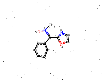 C[N+]([O-])=C(c1ccccc1)c1ncco1